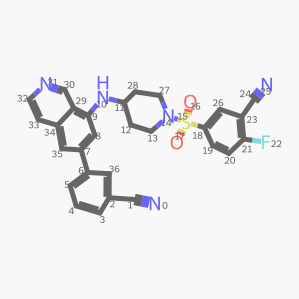 N#Cc1cccc(-c2cc(NC3CCN(S(=O)(=O)c4ccc(F)c(C#N)c4)CC3)c3cnccc3c2)c1